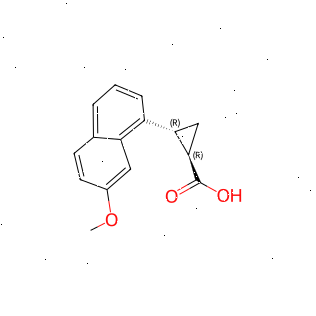 COc1ccc2cccc([C@@H]3C[C@H]3C(=O)O)c2c1